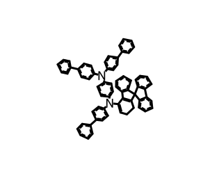 C1=C(N(c2ccc(-c3ccccc3)cc2)c2ccc(N(c3ccc(-c4ccccc4)cc3)c3ccc(-c4ccccc4)cc3)cc2)C2=C(CC1)C1(c3ccccc32)c2ccccc2-c2ccccc21